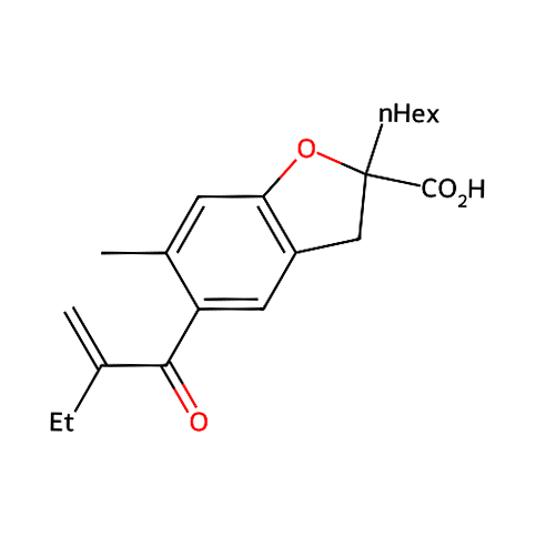 C=C(CC)C(=O)c1cc2c(cc1C)OC(CCCCCC)(C(=O)O)C2